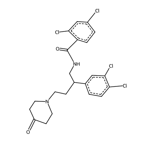 O=C1CCN(CCC(CNC(=O)c2ccc(Cl)cc2Cl)c2ccc(Cl)c(Cl)c2)CC1